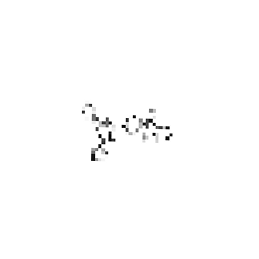 O=C(C1CCCN1)N1CCN(c2nc(N3CCCC3)nc(N3CCCC3)n2)CC1